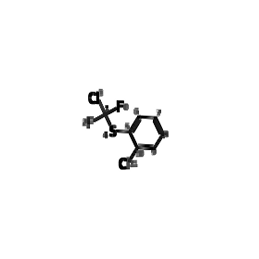 FC(F)(Cl)Sc1cc[c]cc1Cl